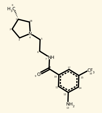 C[C@H]1CCN(CCNC(=O)c2cc(N)cc(C(F)(F)F)c2)C1